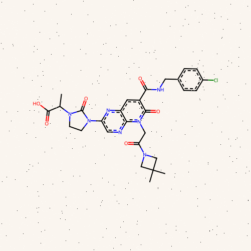 CC(C(=O)O)N1CCN(c2cnc3c(cc(C(=O)NCc4ccc(Cl)cc4)c(=O)n3CC(=O)N3CC(C)(C)C3)n2)C1=O